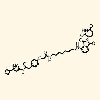 O=C(COc1ccc(CC(=O)Nc2cc(C3CCC3)[nH]n2)cc1)NCCCCCCCCNc1cccc2c1C(=O)N(C1CCC(=O)NC1=O)C2=O